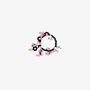 CO[C@@H]1C[C@H](C[C@@H](C)[C@@H]2C/C(=N/OCC(=O)O)[C@H](C)/C=C(\C)[C@@H](O)[C@@H](OC)C(=O)[C@H](C)C[C@H](C)/C=C/C=C/C=C(\C)CC[C@@H]3CC[C@@H](C)[C@@](O)(O3)C(=O)C(=O)N3CCCC[C@H]3C(=O)O2)CC[C@H]1O